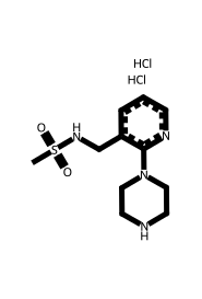 CS(=O)(=O)NCc1cccnc1N1CCNCC1.Cl.Cl